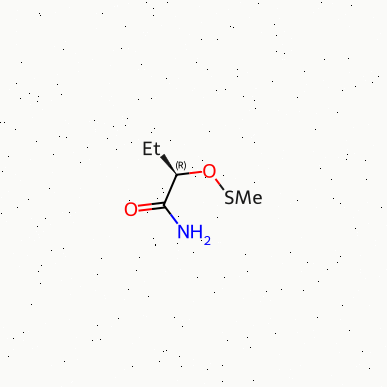 CC[C@@H](OSC)C(N)=O